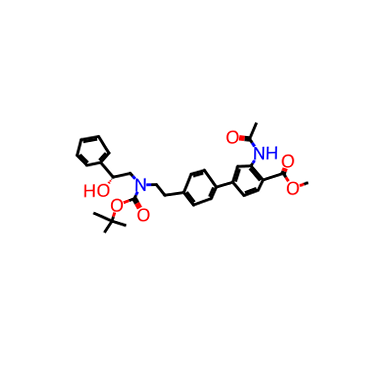 COC(=O)c1ccc(-c2ccc(CCN(C[C@H](O)c3ccccc3)C(=O)OC(C)(C)C)cc2)cc1NC(C)=O